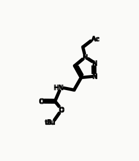 CC(=O)Cn1cc(CNC(=O)OC(C)(C)C)nn1